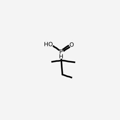 CCC(C)(C)[PH](=O)O